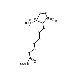 COC(=O)CCCCCCC1C(=O)CCC1C(=O)O